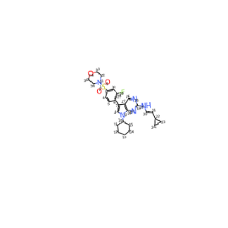 O=S(=O)(c1ccc(-c2cn(C3CCCCC3)c3nc(NCCC4CC4)ncc23)c(F)c1)N1CCOCC1